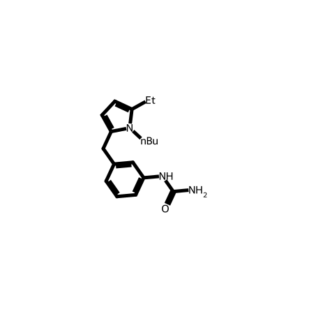 CCCCn1c(CC)ccc1Cc1cccc(NC(N)=O)c1